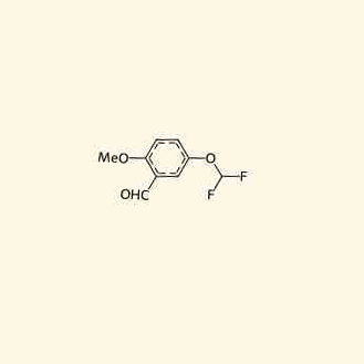 COc1ccc(OC(F)F)cc1C=O